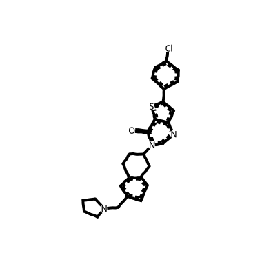 O=c1c2sc(-c3ccc(Cl)cc3)cc2ncn1C1CCc2cc(CN3CCCC3)ccc2C1